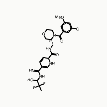 COc1cc(Cl)cc(C(=O)N2CCOC[C@H]2CNC(=O)C2C=CC(C(=N)NC(O)C(C)(F)F)=CN2)c1